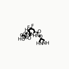 O=C(NOC1CNNC1)[C@@H]1CC(F)(F)[C@@H]2CN1C(=O)N2OS(=O)(=O)O